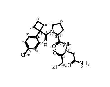 NC(=O)CN(NC(=O)[C@@H]1CCCN1C(=O)C1(c2ccc(Cl)cc2)CCC1)C(=O)CF